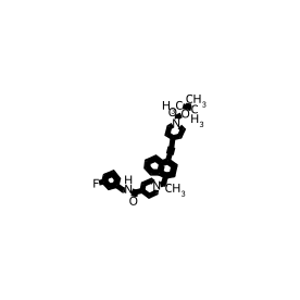 C[C@H](c1ccc(C#CC2CCN(C(=O)OC(C)(C)C)CC2)c2ccccc12)N1CCC(C(=O)NCc2cccc(F)c2)CC1